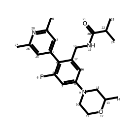 Cc1cc(-c2c(F)cc(N3CCOC(C)C3)cc2CNC(=O)C(C)C)cc(C)n1